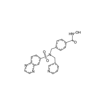 O=C(NO)c1ccc(CN(Cc2cccnc2)S(=O)(=O)c2ccc3nccnc3c2)cc1